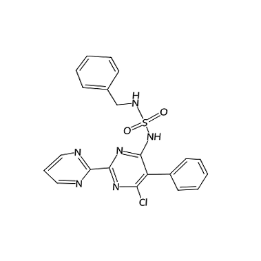 O=S(=O)(NCc1ccccc1)Nc1nc(-c2ncccn2)nc(Cl)c1-c1ccccc1